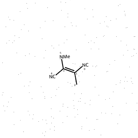 [C-]#[N+]/C(C)=C(/C#N)NC